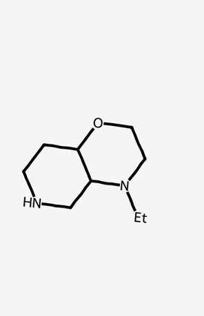 CCN1CCOC2CCNCC21